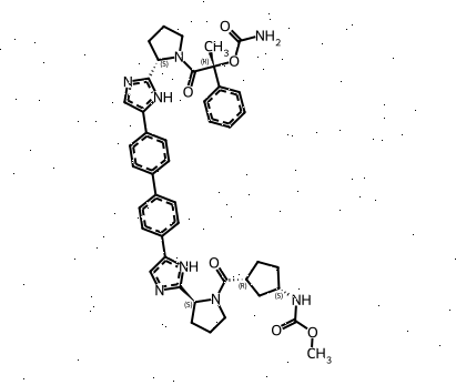 COC(=O)N[C@H]1CC[C@@H](C(=O)N2CCC[C@H]2c2ncc(-c3ccc(-c4ccc(-c5cnc([C@@H]6CCCN6C(=O)[C@](C)(OC(N)=O)c6ccccc6)[nH]5)cc4)cc3)[nH]2)C1